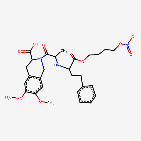 COc1cc2c(cc1OC)CN(C(=O)C(C)NC(CCc1ccccc1)C(=O)OCCCCO[N+](=O)[O-])C(C(=O)O)C2